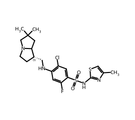 Cc1csc(NS(=O)(=O)c2cc(Cl)c(NC[C@@H]3CCN4CC(C)(C)CC34)cc2F)n1